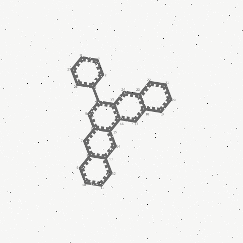 c1ccc(-c2cc3cc4ccccc4cc3c3cc4ccccc4cc23)cc1